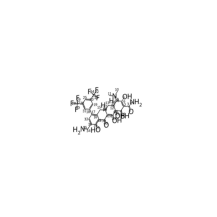 B=C1C(C(N)=O)=C(O)[C@@H](N(C)C)[C@@H]2C[C@@H]3Cc4c(-c5cc(C(F)(F)F)cc(C(F)(F)F)c5)cc(CN)c(O)c4C(=O)C3=C(O)[C@]12O